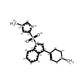 CN1CC=C(c2cn(S(=O)(=O)c3cn(C)cn3)c3ccccc23)CC1